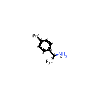 CC(C)c1ccc(C(N)C(F)(F)F)cc1